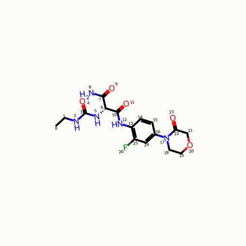 CCNC(=O)N[C@H](C(N)=O)C(=O)Nc1ccc(N2CCOCC2=O)cc1F